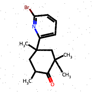 CC1CC(C)(c2cccc(Br)n2)CC(C)(C)C1=O